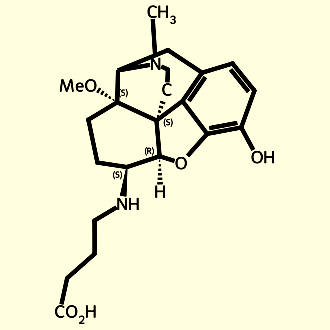 CO[C@@]12CC[C@H](NCCCC(=O)O)[C@@H]3Oc4c(O)ccc5c4[C@@]31CCN(C)C2C5